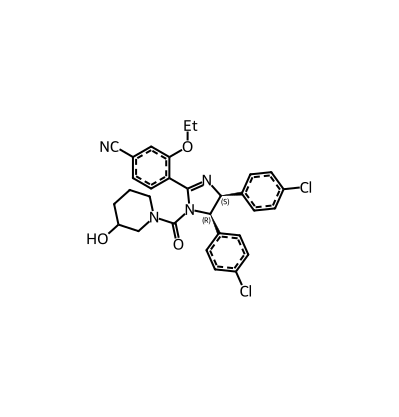 CCOc1cc(C#N)ccc1C1=N[C@@H](c2ccc(Cl)cc2)[C@@H](c2ccc(Cl)cc2)N1C(=O)N1CCCC(O)C1